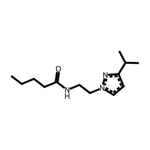 CCCCC(=O)NCCn1ccc(C(C)C)n1